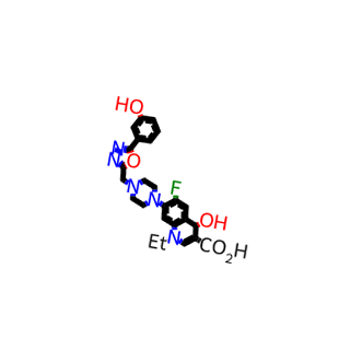 CCN1C=C(C(=O)O)C(O)c2cc(F)c(N3CCN(Cc4nnc(-c5cccc(O)c5)o4)CC3)cc21